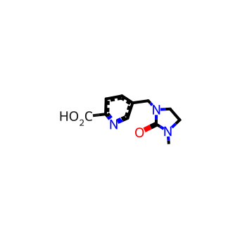 CN1CCN(Cc2ccc(C(=O)O)nc2)C1=O